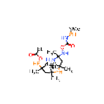 CCC(=O)OPC(C)(C)CC(C)(C)PC(C)(C)CC(C)(N)NOC(=O)NPNC